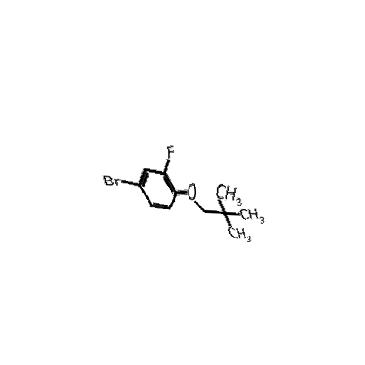 CC(C)(C)COc1ccc(Br)cc1F